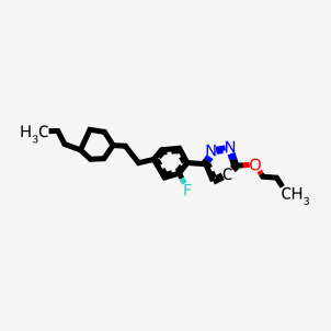 CCCOc1ccc(-c2ccc(CCC3CCC(CCC)CC3)cc2F)nn1